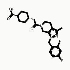 Cc1nn(Cc2ccc(F)cc2F)c2c1CCN(C(=O)C[C@H]1CC[C@H](C(=O)O)CC1)C2